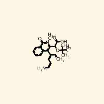 C=C/C(=C\C=C/N)c1c(C(OC(C)(C)C)C(=O)O)n(C)c(=O)c2ccccc12